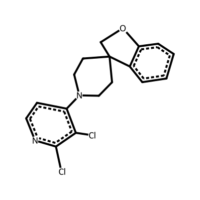 Clc1nccc(N2CCC3(CC2)COc2ccccc23)c1Cl